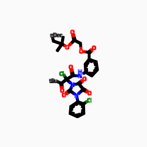 CCCCCCCCCCCC(C)(C)OC(=O)COC(=O)c1cccc(NC(=O)C(Cl)(C(=O)C(C)(C)C)N2C(=O)C(=O)N(c3ccccc3Cl)C2=O)c1